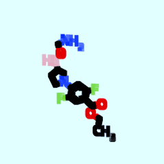 CCOC(=O)c1cc(F)c(N2CCC(BOCN)C2)cc1F